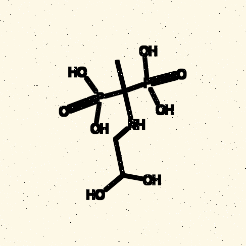 CC(NCC(O)O)(P(=O)(O)O)P(=O)(O)O